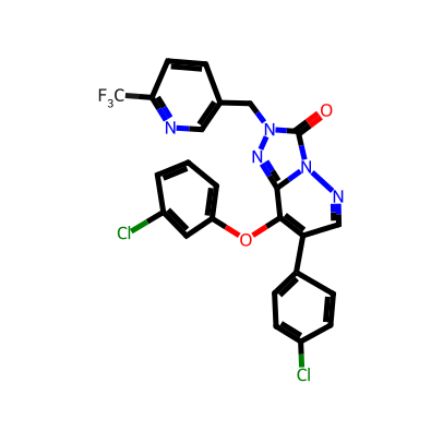 O=c1n(Cc2ccc(C(F)(F)F)nc2)nc2c(Oc3cccc(Cl)c3)c(-c3ccc(Cl)cc3)cnn12